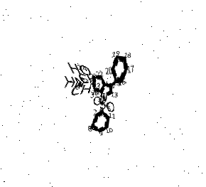 CNC.O=S(=O)(c1ccccc1)n1cc(-c2ccccc2)c2cc(O)ccc21